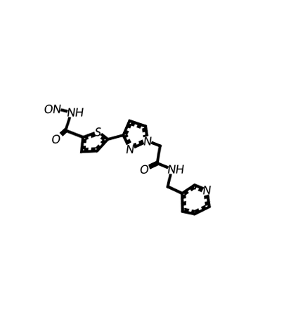 O=NNC(=O)c1ccc(-c2ccn(CC(=O)NCc3cccnc3)n2)s1